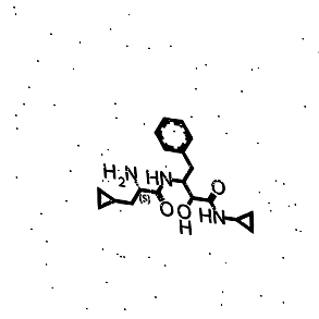 N[C@@H](CC1CC1)C(=O)NC(Cc1ccccc1)C(O)C(=O)NC1CC1